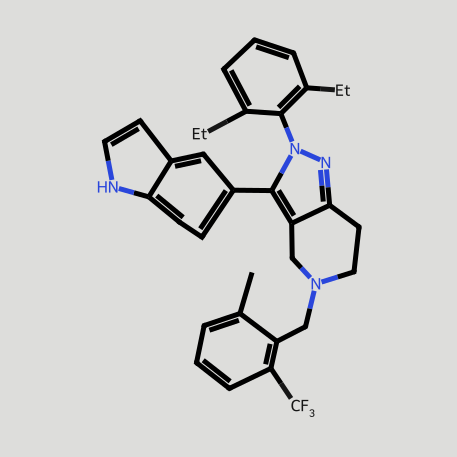 CCc1cccc(CC)c1-n1nc2c(c1-c1ccc3[nH]ccc3c1)CN(Cc1c(C)cccc1C(F)(F)F)CC2